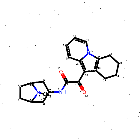 CN1C2CCC1CC(NC(=O)C(=O)c1c3c(n4ccccc14)CCCC3)C2